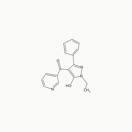 CCn1nc(-c2ccccc2)c(C(=O)c2cccnc2)c1O